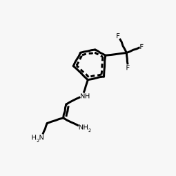 NC/C(N)=C/Nc1cccc(C(F)(F)F)c1